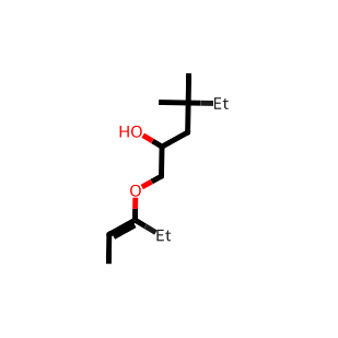 C/C=C(\CC)OCC(O)CC(C)(C)CC